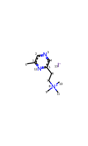 Cc1cncc(CC[N+](C)(C)C)n1.[I-]